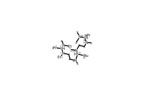 CCN(C)[SH](C(C)C)N(CC)CCN(C)[SH](N(C)CCN(C)[SH](C(C)C)N(C)C)C(C)(C)C